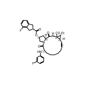 CCOC(=O)[C@@]12C[C@H]1/C=C\CCCCC[C@H](Nc1cccc(F)c1)C(=O)N1C[C@H](OC(=O)N3Cc4cccc(F)c4C3)C[C@H]1C(=O)N2